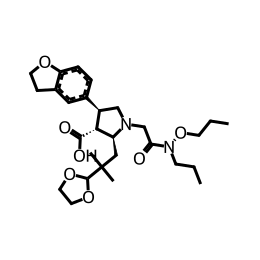 CCCON(CCC)C(=O)CN1C[C@H](c2ccc3c(c2)CCO3)[C@@H](C(=O)O)[C@@H]1CC(C)(C)C1OCCO1